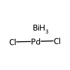 [BiH3].[Cl][Pd][Cl]